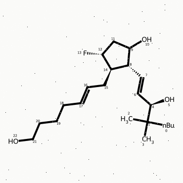 CCCCC(C)(C)[C@H](O)C=C[C@H]1C(O)C[C@@H](F)[C@@H]1CC=CCCCCO